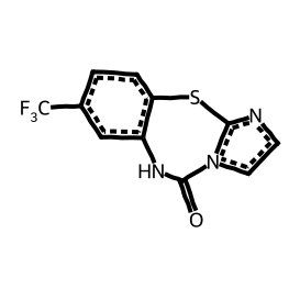 O=C1Nc2cc(C(F)(F)F)ccc2Sc2nccn21